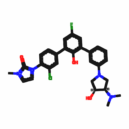 CN(C)[C@@H]1CN(c2cccc(-c3cc(F)cc(-c4ccc(-n5ccn(C)c5=O)c(Cl)c4)c3O)c2)C[C@H]1O